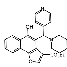 CCOC(=O)c1coc2c1c(C(c1ccncc1)N1CCCCC1)c(O)c1ccccc12